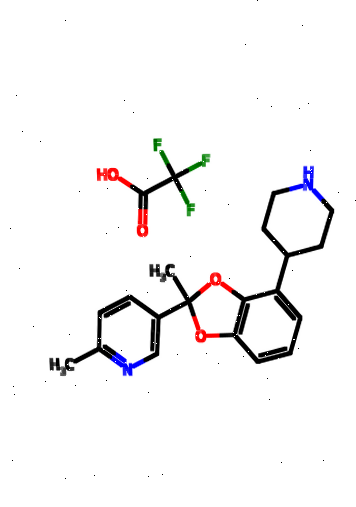 Cc1ccc(C2(C)Oc3cccc(C4CCNCC4)c3O2)cn1.O=C(O)C(F)(F)F